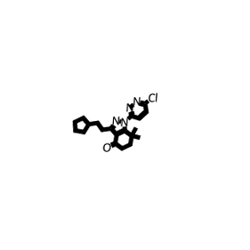 CC1(C)CCC(=O)c2c(CCC3CCCC3)nn(-c3ccc(Cl)nn3)c21